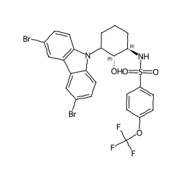 O=S(=O)(N[C@@H]1CCCC(n2c3ccc(Br)cc3c3cc(Br)ccc32)[C@H]1O)c1ccc(OC(F)(F)F)cc1